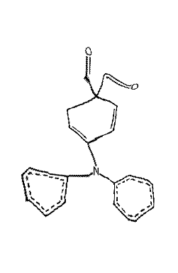 O=CC1(C=O)C=CC(N(c2ccccc2)c2ccccc2)=CC1